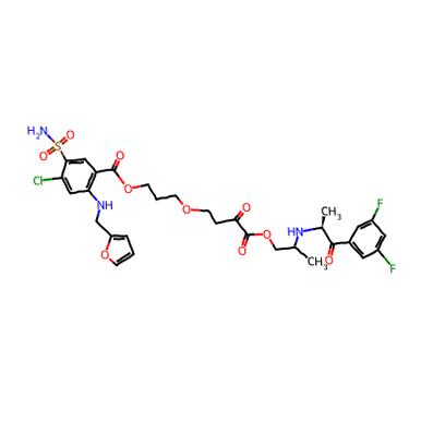 CC(COC(=O)C(=O)CCOCCCOC(=O)c1cc(S(N)(=O)=O)c(Cl)cc1NCc1ccco1)N[C@@H](C)C(=O)c1cc(F)cc(F)c1